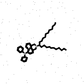 CCCCCCCCCCCC(CCCCCCCCCCC)N1Cc2cccc3c(N(c4ccccc4)c4ccccc4)ccc(c23)C1